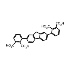 O=C(O)c1cccc(-c2ccc3c(c2)Cc2cc(-c4cccc(C(=O)O)c4C(=O)O)ccc2-3)c1C(=O)O